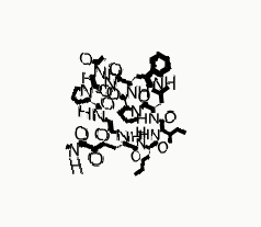 CCCC[C@H](NC(=O)[C@H](CCC(=O)C(=O)NC)NC(=O)CNC(=O)[C@@H]1CCCN1C(=O)CNC(C)=O)C(=O)N[C@H](C(=O)N[C@@H](CC(C)C)C(=O)N1CCC[C@H]1C(=O)N[C@@H](Cc1c[nH]c2ccccc12)C(N)=O)C(C)CC